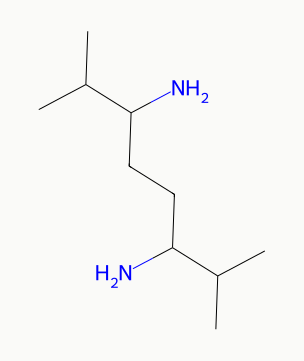 CC(C)C(N)CCC(N)C(C)C